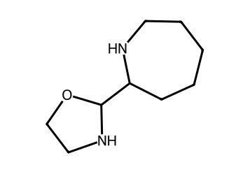 C1CCNC(C2NCCO2)CC1